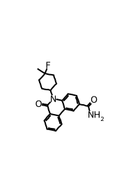 CC1(F)CCC(n2c(=O)c3ccccc3c3cc(C(N)=O)ccc32)CC1